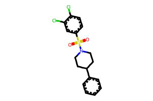 O=S(=O)(c1ccc(Cl)c(Cl)c1)N1CCC(c2ccccc2)CC1